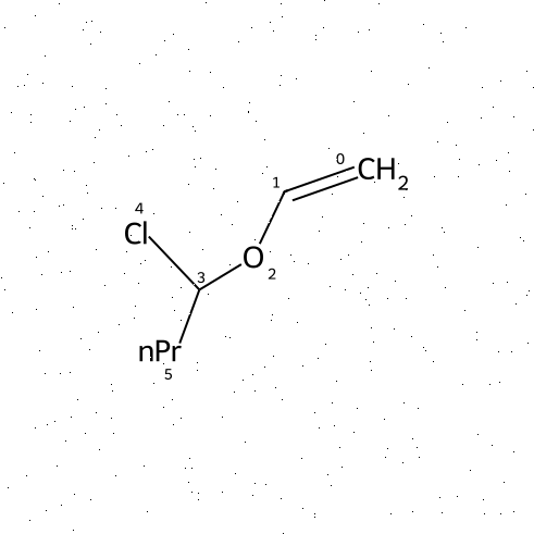 C=COC(Cl)CCC